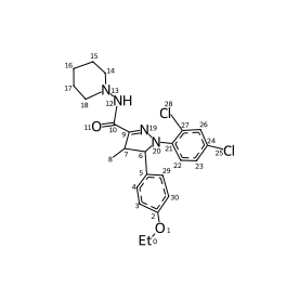 CCOc1ccc(C2C(C)C(C(=O)NN3CCCCC3)=NN2c2ccc(Cl)cc2Cl)cc1